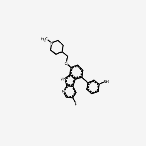 CN1CCC(COc2ccc(-c3cccc(S)c3)c3c2[nH]c2ncc(F)cc23)CC1